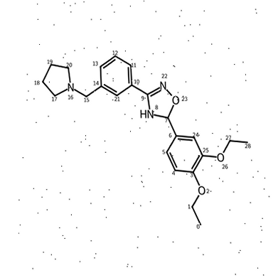 CCOc1ccc(C2NC(c3cccc(CN4CCCC4)c3)=NO2)cc1OCC